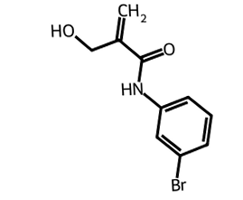 C=C(CO)C(=O)Nc1cccc(Br)c1